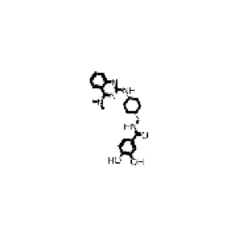 CN(C)c1nc(N[C@H]2CC[C@@H](CNC(=O)c3ccc(O)c(O)c3)CC2)nc2ccccc12